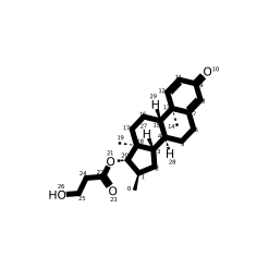 C[C@@H]1C[C@H]2[C@@H]3CCC4=CC(=O)C=C[C@]4(C)[C@H]3CC[C@]2(C)[C@H]1OC(=O)CCO